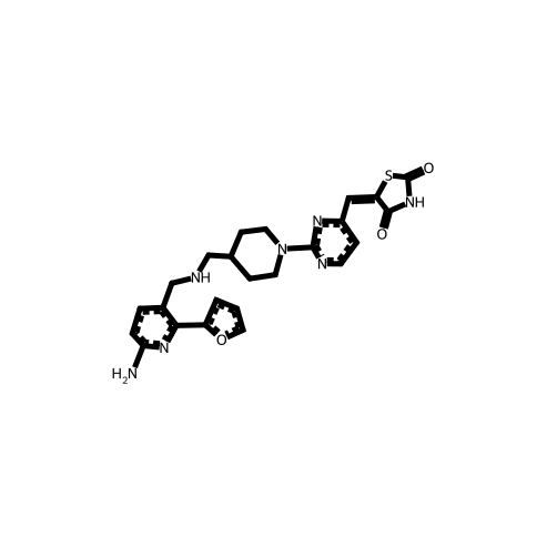 Nc1ccc(CNCC2CCN(c3nccc(C=C4SC(=O)NC4=O)n3)CC2)c(-c2ccco2)n1